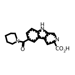 O=C(O)c1cc2c(cn1)[nH]c1ccc(C(=O)N3CCCCC3)cc12